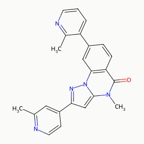 Cc1cc(-c2cc3n(C)c(=O)c4ccc(-c5cccnc5C)cc4n3n2)ccn1